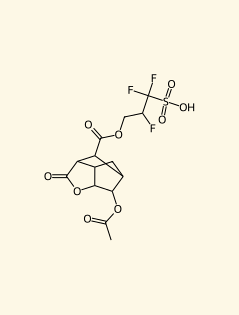 CC(=O)OC1C2CC3C1OC(=O)C3C2C(=O)OCC(F)C(F)(F)S(=O)(=O)O